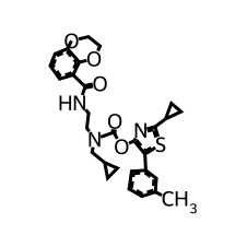 Cc1cccc(-c2sc(C3CC3)nc2OC(=O)N(CCNC(=O)c2cccc3c2OCCO3)CC2CC2)c1